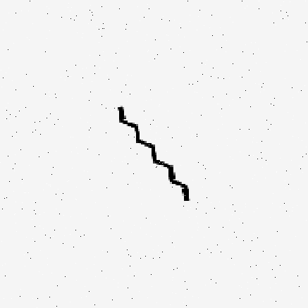 C=C/C=C/CCCCC=C